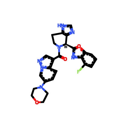 O=C(c1cnn2cc(N3CCOCC3)ccc12)N1CCc2[nH]cnc2[C@H]1c1nc2c(F)cccc2o1